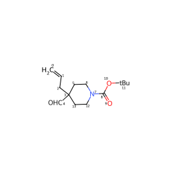 C=CCC1(C=O)CCN(C(=O)OC(C)(C)C)CC1